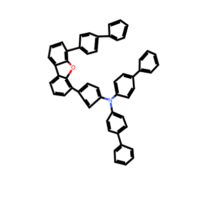 c1ccc(-c2ccc(-c3cccc4c3oc3c(-c5ccc(N(c6ccc(-c7ccccc7)cc6)c6ccc(-c7ccccc7)cc6)cc5)cccc34)cc2)cc1